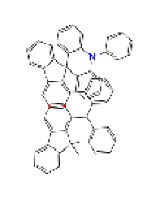 CC1(C)c2ccccc2-c2cccc(C(c3ccccc3)c3ccccc3-c3cccc4c3C3(c5ccccc5-4)c4ccccc4N(c4ccccc4)c4ccccc43)c21